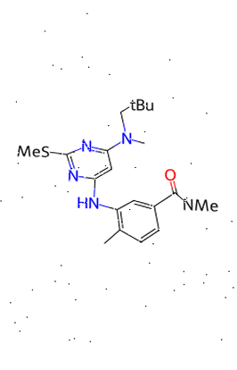 CNC(=O)c1ccc(C)c(Nc2cc(N(C)CC(C)(C)C)nc(SC)n2)c1